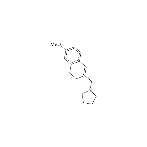 COc1ccc2c(c1)CCC(CN1CCCC1)=C2